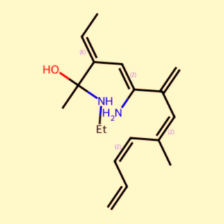 C=C/C=C\C(C)=C/C(=C)/C(N)=C/C(=C\C)C(C)(O)NCC